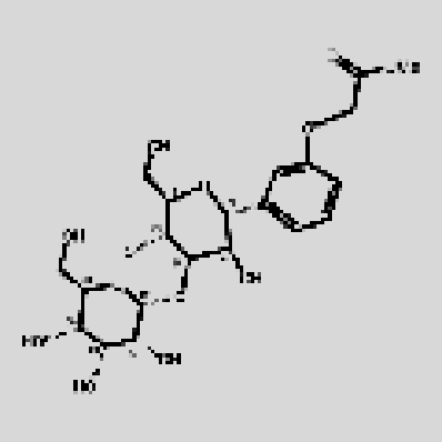 COC(=O)COc1cccc([C@H]2O[C@H](CO)[C@@H](O)[C@H](O[C@H]3O[C@H](CO)[C@@H](O)[C@@H](O)[C@H]3O)[C@@H]2O)c1